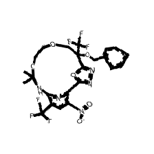 CC1(C)CCCOCC(OCc2ccccc2)(C(F)(F)F)c2nnc(o2)-c2nc(c(C(F)(F)F)cc2[N+](=O)[O-])N1